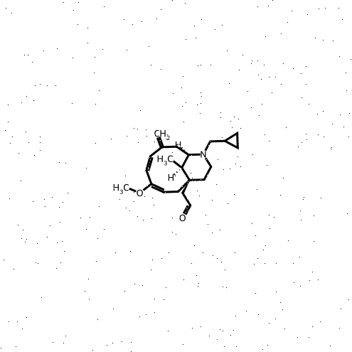 C=C1/C=C\C(OC)=C/C[C@@]2(CC=O)CCN(CC3CC3)[C@H](C1)[C@@H]2C